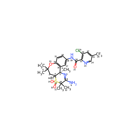 CC1(C)C[C@@H]2[C@](C)(N=C(N)C(C)(C)S2(=O)=O)c2cc(NC(=O)c3ncc(C(F)(F)F)cc3Cl)ccc2O1